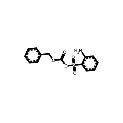 Nc1ccccc1S(=O)(=O)OC(=O)OCc1ccccc1